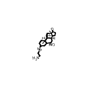 C[C@@H]1C[C@@H]2[C@H](CC[C@]3(C)C(=O)CC[C@@H]23)[C@@]2(C)CC/C(=N/OCCN)CC12.Cl